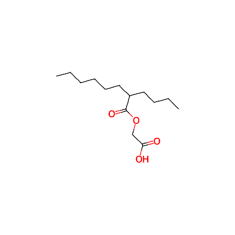 CCCCCCC(CCCC)C(=O)OCC(=O)O